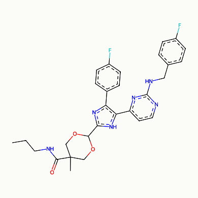 CCCNC(=O)C1(C)COC(c2nc(-c3ccc(F)cc3)c(-c3ccnc(NCc4ccc(F)cc4)n3)[nH]2)OC1